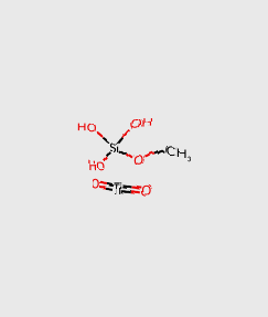 CO[Si](O)(O)O.[O]=[Ti]=[O]